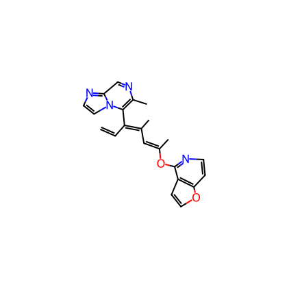 C=C/C(=C(C)\C=C(/C)Oc1nccc2occc12)c1c(C)ncc2nccn12